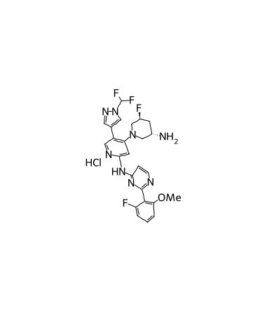 COc1cccc(F)c1-c1nccc(Nc2cc(N3C[C@@H](N)C[C@H](F)C3)c(-c3cnn(C(F)F)c3)cn2)n1.Cl